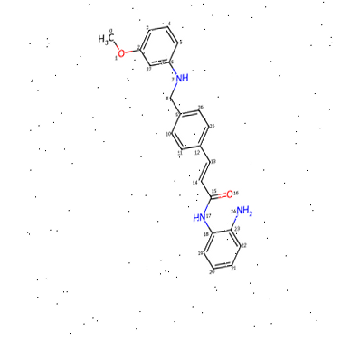 COc1cccc(NCc2ccc(C=CC(=O)Nc3ccccc3N)cc2)c1